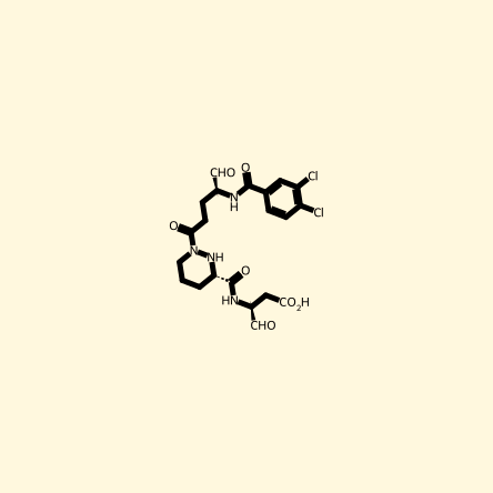 O=C[C@H](CCC(=O)N1CCC[C@@H](C(=O)N[C@H](C=O)CC(=O)O)N1)NC(=O)c1ccc(Cl)c(Cl)c1